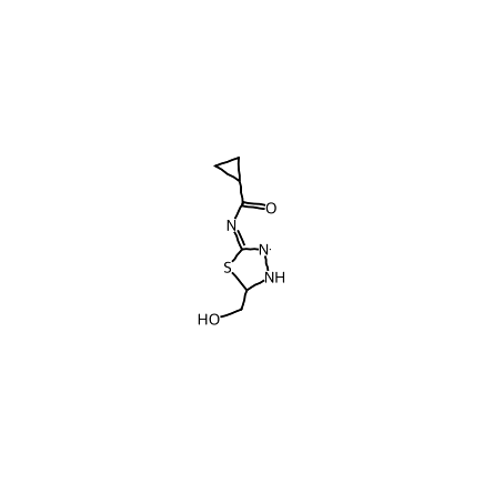 O=C(N=C1[N]NC(CO)S1)C1CC1